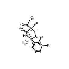 C[C@@]1(c2cccc(F)c2F)CCC(F)(C(=O)O)C(=O)N1